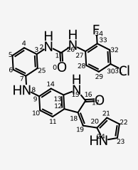 O=C(Nc1cccc(Nc2ccc3c(c2)NC(=O)C3=Cc2ccc[nH]2)c1)Nc1ccc(Cl)cc1F